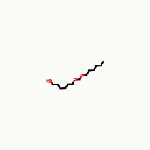 CCCCCCOCOCC/C=C\CCO